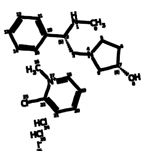 CN[C@H](CN1CC[C@H](O)C1)c1ccccc1.C[n+]1ccccc1Cl.Cl.Cl.[I-]